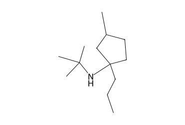 CCCC1(NC(C)(C)C)CCC(C)C1